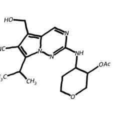 CC(=O)OC1COCCC1Nc1ncc2c(CO)c(C#N)c(C(C)C(F)(F)F)n2n1